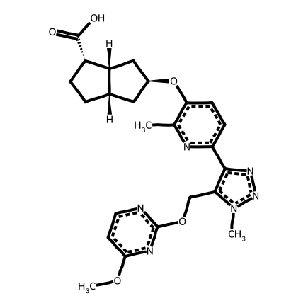 COc1ccnc(OCc2c(-c3ccc(O[C@H]4C[C@@H]5CC[C@H](C(=O)O)[C@@H]5C4)c(C)n3)nnn2C)n1